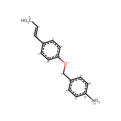 O=C(O)/C=C/c1ccc(OCc2ccc([N+](=O)[O-])cc2)cc1